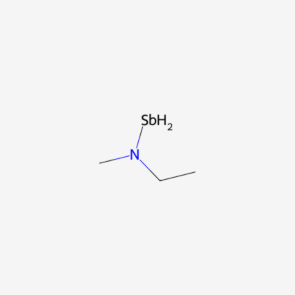 CC[N](C)[SbH2]